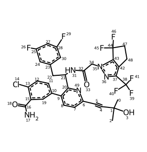 CC(C)(O)C#Cc1ccc(-c2ccc(Cl)c(C(N)=O)c2)c(C(Cc2cc(F)cc(F)c2)NC(=O)Cn2nc(C(F)(F)F)c3c2C(F)(F)CC3)n1